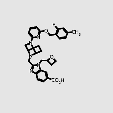 Cc1ccc(COc2cccc(N3CC4N(Cc5nc6ccc(C(=O)O)cc6n5C[C@@H]5CCO5)C5CCC543)n2)c(F)c1